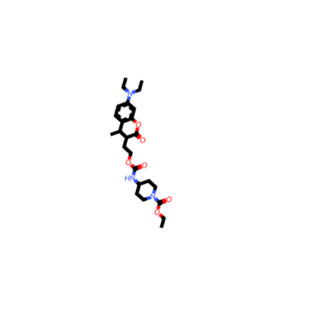 CCOC(=O)N1CCC(NC(=O)OCCC2C(=O)Oc3cc(N(CC)CC)ccc3C2C)CC1